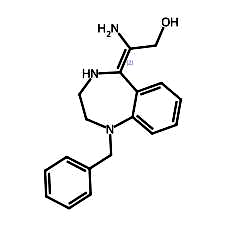 N/C(CO)=C1\NCCN(Cc2ccccc2)c2ccccc21